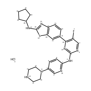 Cl.Fc1cnc(Nc2ccc(N3CCNCC3)cn2)nc1-c1ccc2nc(NC3CCCC3)sc2c1